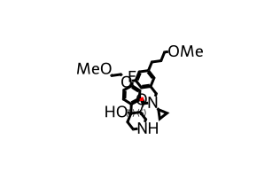 COCCCc1cc(CN(C(=O)[C@H]2CNCC[C@]2(O)c2ccc(F)cc2)C2CC2)cc(OCCOC)c1